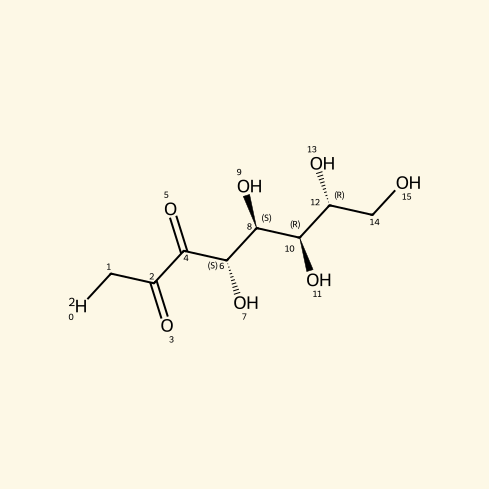 [2H]CC(=O)C(=O)[C@@H](O)[C@@H](O)[C@H](O)[C@H](O)CO